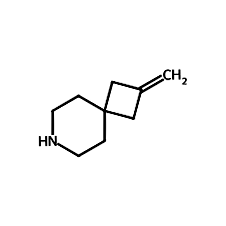 C=C1CC2(CCNCC2)C1